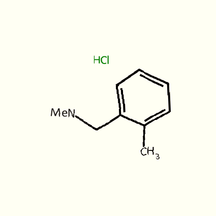 CNCc1ccccc1C.Cl